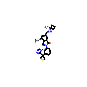 Cn1cnnc1C1(c2cccc(N3Cc4c(cc(CNC5(C)CCC5)cc4C(F)(F)F)C3=O)c2)CSC1.O=CO